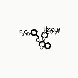 CS(=O)(=O)O.CS(=O)(=O)O.FC(F)(F)Oc1cccc(CO[C@H]2COc3ccccc3[C@@H]2N2CCNCC2)c1